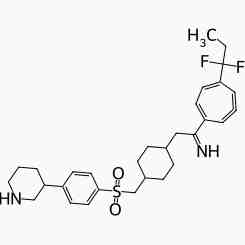 CCC(F)(F)C1=CC=C(C(=N)CC2CCC(CS(=O)(=O)c3ccc(C4CCCNC4)cc3)CC2)C=C=C1